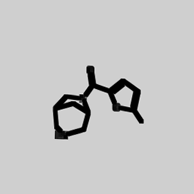 Cc1ccc(C(=O)N2CC3CNCC2C3)o1